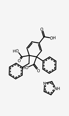 O=C(O)C1=CC(C(=O)O)(c2ccccc2)C(Cc2ccccc2)(C(=O)O)C=C1.c1c[nH]cn1